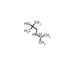 C[SH](C)NCC(C)(C)O